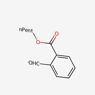 CCCCCOC(=O)c1ccccc1[C]=O